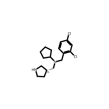 Clc1ccc(CN(C[C@@H]2CCNC2)C2CCCC2)c(Cl)c1